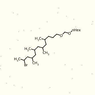 CCCCCCOCOCCCC(C)CC(C)CC(C)CC(C)CC(C)Br